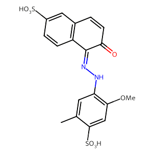 COc1cc(S(=O)(=O)O)c(C)cc1NN=C1C(=O)C=Cc2cc(S(=O)(=O)O)ccc21